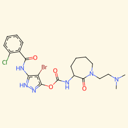 CN(C)CCN1CCCCC(NC(=O)Oc2n[nH]c(NC(=O)c3ccccc3Cl)c2Br)C1=O